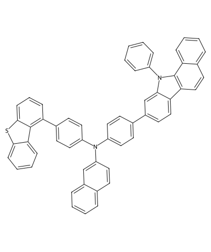 c1ccc(-n2c3cc(-c4ccc(N(c5ccc(-c6cccc7sc8ccccc8c67)cc5)c5ccc6ccccc6c5)cc4)ccc3c3ccc4ccccc4c32)cc1